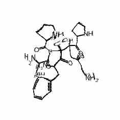 CCC(C)C(N)C(=O)N(C(=O)C1CCCN1)C(C(=O)O)(C(=O)C(N)Cc1ccccc1)C(C)(CC(=O)CN)C(=O)C1CCCN1